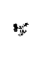 CN1CCCC1COc1nc2c(c(N3CCN(C(=O)O)C(CC#N)C3)n1)CN(C1c3ccccc3-c3ccccc31)C2